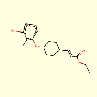 CCOC(=O)/C=C/[C@H]1CC[C@H](Oc2cccc(Br)c2C)CC1